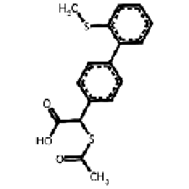 CSc1ccccc1-c1ccc(C(SC(C)=O)C(=O)O)cc1